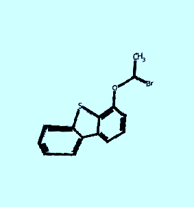 CC(Br)Oc1cccc2c1sc1ccccc12